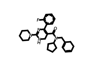 O=C(C1=C(c2ccccc2F)N=C(N2CCCCC2)NC1)N(CC1=CC=CCC1)C1CCCC1